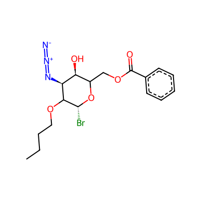 CCCCOC1[C@@H](N=[N+]=[N-])[C@@H](O)C(COC(=O)c2ccccc2)O[C@@H]1Br